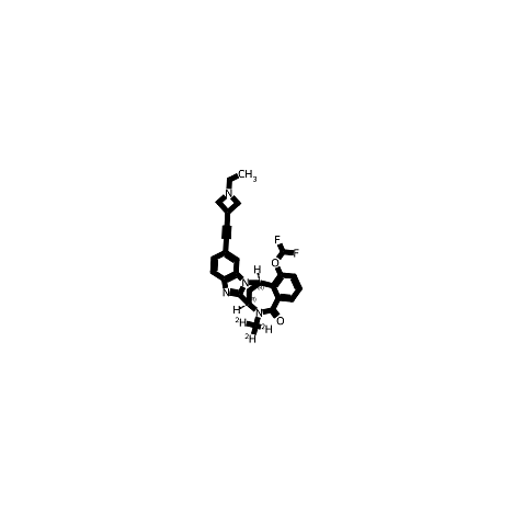 [2H]C([2H])([2H])N1C(=O)c2cccc(OC(F)F)c2[C@H]2C[C@@H]1c1nc3ccc(C#CC4CN(CC)C4)cc3n12